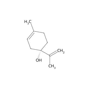 C=C(C)[C@@]1(O)CC=C(C)CC1